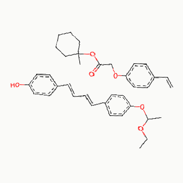 C=Cc1ccc(OCC(=O)OC2(C)CCCCC2)cc1.CCOC(C)Oc1ccc(C=CC=Cc2ccc(O)cc2)cc1